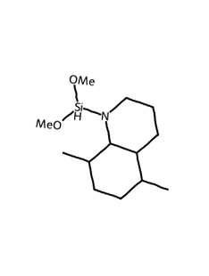 CO[SiH](OC)N1CCCC2C(C)CCC(C)C21